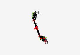 CCOc1ccc(-c2ccc(OCCCCCCCC(=O)CCCCCCCOc3ccc(-c4ccc(C)c(F)c4F)c(F)c3)cc2F)c(F)c1F